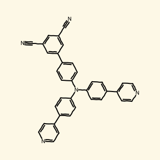 N#Cc1cc(C#N)cc(-c2ccc(N(c3ccc(-c4ccncc4)cc3)c3ccc(-c4ccncc4)cc3)cc2)c1